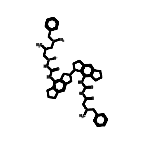 CC(CN(C)Cc1ccccc1)C[S+]([O-])NC(=O)Nc1c2c(cc3c1CC(C1CCc4cc5c(c(NC(=O)NC(=O)CN(C)Cc6ccccc6)c41)CCC5)C3)CCC2